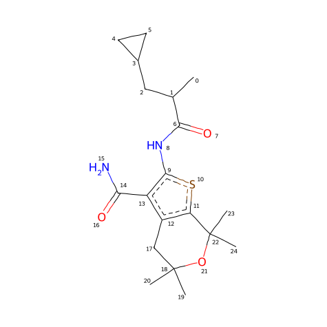 CC(CC1CC1)C(=O)Nc1sc2c(c1C(N)=O)CC(C)(C)OC2(C)C